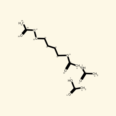 CC(=O)O.CC(=O)O.CC(=O)OCCCCOOC(C)=O